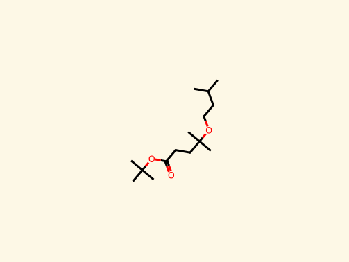 CC(C)CCOC(C)(C)CCC(=O)OC(C)(C)C